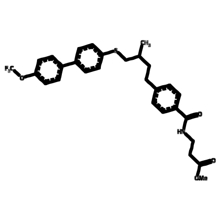 COC(=O)CCNC(=O)c1ccc(CCC(C)CSc2ccc(-c3ccc(OC(F)(F)F)cc3)cc2)cc1